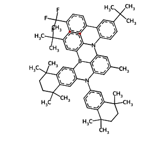 Cc1cc2c3c(c1)N(c1ccc(C(C)(C)C)cc1-c1ccc(C(F)(F)F)cc1)c1ccc(C(C)(C)C)cc1B3c1cc3c(cc1N2c1ccc2c(c1)C(C)(C)CCC2(C)C)C(C)(C)CCC3(C)C